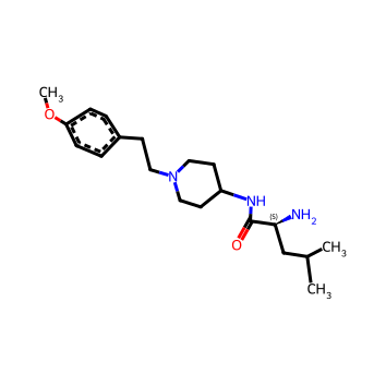 COc1ccc(CCN2CCC(NC(=O)[C@@H](N)CC(C)C)CC2)cc1